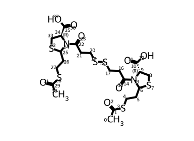 CC(=O)SCCC1SC[C@@H](C(=O)O)N1C(=O)CCSSCCC(=O)N1C(CCSC(C)=O)SC[C@H]1C(=O)O